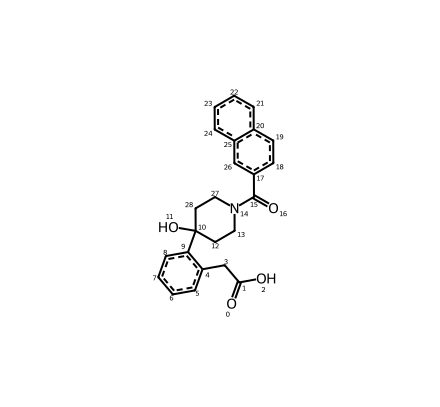 O=C(O)Cc1ccccc1C1(O)CCN(C(=O)c2ccc3ccccc3c2)CC1